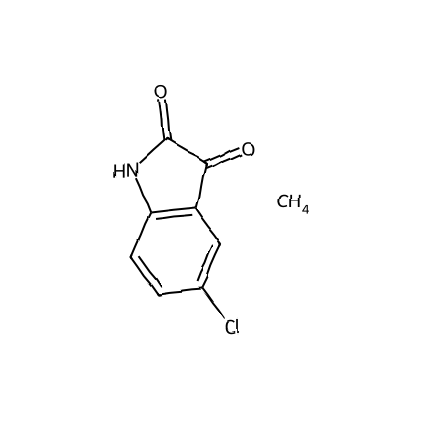 C.O=C1Nc2ccc(Cl)cc2C1=O